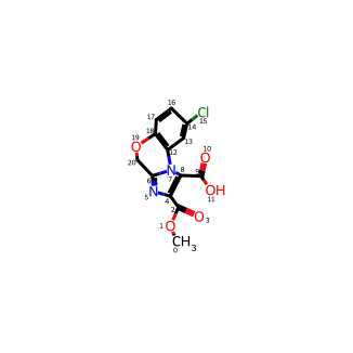 COC(=O)c1nc2n(c1C(=O)O)-c1cc(Cl)ccc1OC2